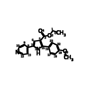 CCOC(=O)c1cc(-c2ccncc2)[nH]c1-c1ccc(OC)cc1